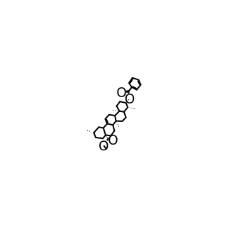 COC(=O)[C@@]12CCC3C(=CCC4[C@@]3(C)CCC3[C@@H](C)[C@@H](OC(=O)c5ccccc5)CC[C@@]34C)C1C[C@@H](C)CC2